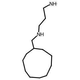 [NH]CCCNCC1CCCCCCCCC1